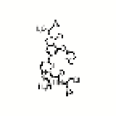 CC(C1CC1)N1Cc2cc(-c3ccn4nc(N)c(C(=O)N[C@@H](CO)C5CC5)c4n3)cc(O[C@@H]3CCOC3)c2C1=O